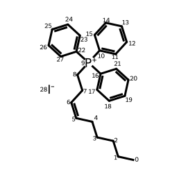 CCCCC/C=C\CC[P+](c1ccccc1)(c1ccccc1)c1ccccc1.[I-]